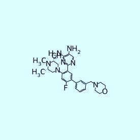 C[C@@H]1CN(c2cc(F)c(-c3cccc(CN4CCOCC4)c3)cc2-c2ncc(N)c(N)n2)C[C@H](C)N1C